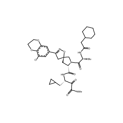 CNC(=O)C(=O)[C@H](CC1CC1)NC(=O)[C@@H]1C[C@]2(CC(c3cc(Cl)c4c(c3)OCCO4)=NO2)CN1C(=O)[C@@H](NC(=O)CC1CCCCC1)C(C)(C)C